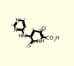 O=C(O)c1[nH]c(=S)c(Nc2ccncn2)cc1Cl